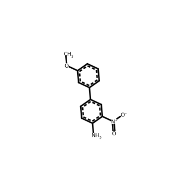 COc1cccc(-c2ccc(N)c([N+](=O)[O-])c2)c1